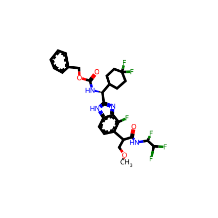 COCC(C(=O)NC(F)C(F)F)c1ccc2[nH]c([C@@H](NC(=O)OCc3ccccc3)C3CCC(F)(F)CC3)nc2c1F